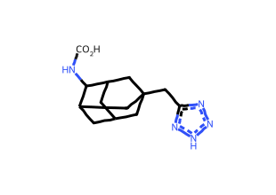 O=C(O)NC1C2CC3CC1CC(Cc1nn[nH]n1)(C3)C2